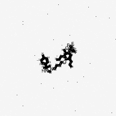 CCCc1cc2c(c(CCC)c1OCCCCN1CNC(C)(c3ccc(C)cc3)C1)COC2(C(F)(F)F)C(F)(F)F